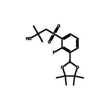 CC(C)(O)CS(=O)(=O)c1cccc(B2OC(C)(C)C(C)(C)O2)c1F